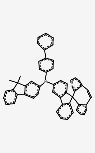 CC1(C)c2ccccc2-c2ccc(N(c3ccc(-c4ccccc4)cc3)c3ccc4c(c3)-c3ccccc3C43c4ccccc4C=Cc4ccccc43)cc21